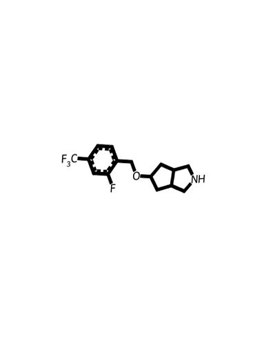 Fc1cc(C(F)(F)F)ccc1COC1CC2CNCC2C1